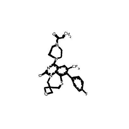 C=CC(=O)N1CCN(c2nc(=O)n3c4c(c(-c5ccc(F)cc5)c(C(F)(F)F)cc24)SCC2(COC2)C3)CC1